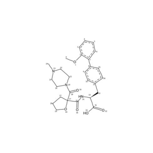 COc1ccccc1-c1ccc(C[C@H](NC(=O)C2(C(=O)N3CCN(C)CC3)CCCO2)C(=O)O)cc1